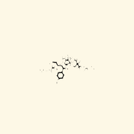 CNc1nccc(-c2[nH]c(C3(C(N)=O)OCC(C)(C(=O)OCC#N)CO3)nc2-c2ccc(F)cc2)n1